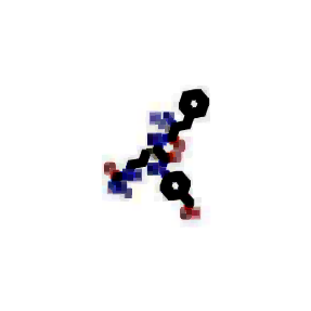 NC(=O)NCCC[C@H](NC(=O)[C@@H](N)Cc1ccccc1)C(=O)Nc1ccc(CO)cc1